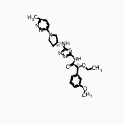 CCO[C@H](C(=O)Nc1nnc(N[C@@H]2CCN(c3ccc(C)nn3)C2)s1)c1cccc(OC)c1